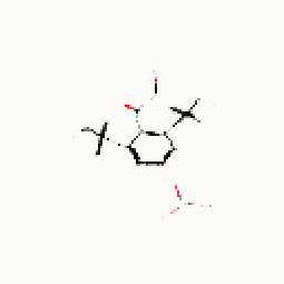 CC(C)(C)c1cccc(C(C)(C)C)c1C(O)CO.OB(O)O